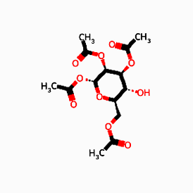 CC(=O)OC[C@H]1O[C@H](OC(C)=O)[C@@H](OC(C)=O)[C@@H](OC(C)=O)[C@@H]1O